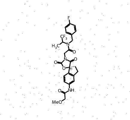 COCC(=O)Nc1ccc2c(c1)CC[C@@]21OC(=O)N(CC(=O)N(Cc2ccc(F)cc2)C(C)C(F)(F)F)C1=O